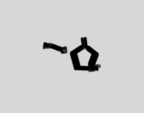 [Cl][Au].c1c[nH+]c[nH]1